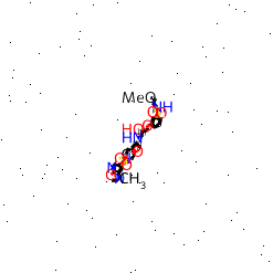 COCCNS(=O)(=O)c1cccc(OC[C@@H](O)CN[C@H]2COC3(CCN(S(=O)(=O)c4cnc5c(c4)N(C)CCO5)CC3)C2)c1